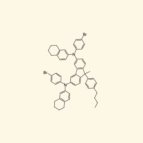 CCCCc1ccc(C2(C)c3ccc(N(c4ccc(Br)cc4)c4ccc5c(c4)CCCC5)cc3-c3cc(N(c4ccc(Br)cc4)c4ccc5c(c4)CCCC5)ccc32)cc1